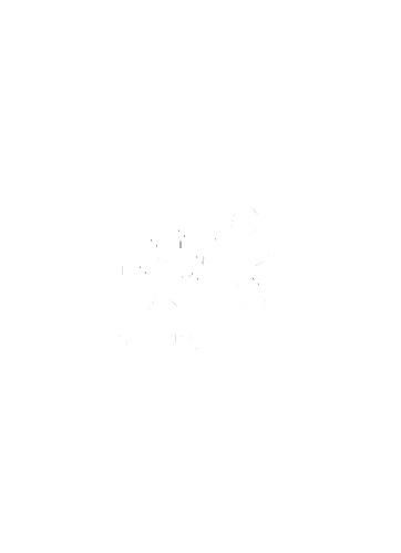 Cc1csc2cc([C@H](C)n3nc(-c4ccc(OC(C)C)c(P)c4)c4c(N)ncnc43)c(-c3ccccc3)c(=O)n12